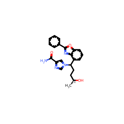 C[C@H](O)CCC(c1cccc2oc(-c3ccccc3)nc12)n1cnc(C(N)=O)c1